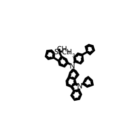 C[Si]1(C)c2ccccc2-c2ccc(N(c3ccc(-c4ccccc4)cc3)c3ccc4c(ccc5c6ccccc6n(-c6ccccc6)c45)c3)cc21